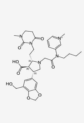 CCCCN(C(=O)CN1C[C@H](c2cc(CO)c3c(c2)OCO3)[C@@H](C(=O)O)[C@@H]1CCN1C(=O)CCN(C)C1=O)c1ccc[n+](C)c1